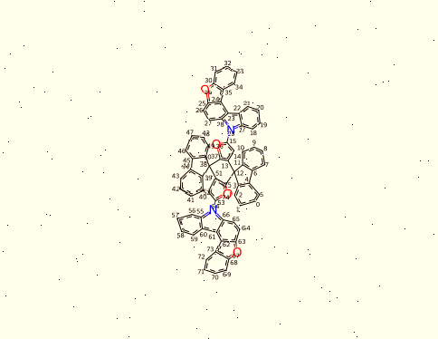 c1ccc2c(c1)-c1ccccc1C21c2cc(-n3c4ccccc4c4c5c(ccc43)oc3ccccc35)oc2C2(c3ccccc3-c3ccccc32)c2cc(-n3c4ccccc4c4c5c(ccc43)oc3ccccc35)oc21